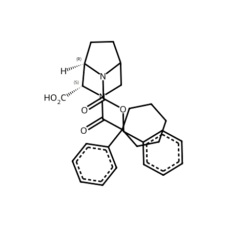 O=C(O)[C@@H]1[C@H]2CCC(CN1C(=O)C1(c3ccccc3)CCCCC1)N2C(=O)OCc1ccccc1